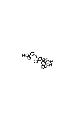 Cc1cccc(Cl)c1C(=N)/C(COc1ccc(/C=C/c2cccc(C(=O)O)c2)c(Cl)c1)=C(\O)C(C)C